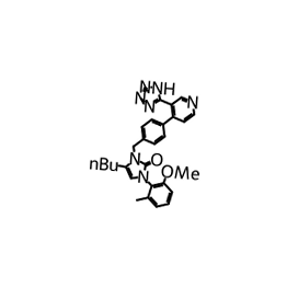 CCCCc1cn(-c2c(C)cccc2OC)c(=O)n1Cc1ccc(-c2ccncc2-c2nnn[nH]2)cc1